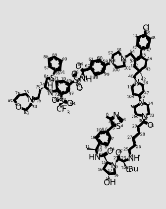 Cc1ncsc1-c1ccc([C@H](C)NC(=O)[C@@H]2C[C@@H](O)CN2C(=O)[C@@H](NCCCCCC(=O)N2CCN(C3CCN(C[C@]4(C)CCC(c5ccc(Cl)cc5)=C(CN5CCN(c6ccc(C(=O)NS(=O)(=O)c7ccc(N[C@H](CCN8CCCOCC8)CSc8ccccc8)c(S(=O)(=O)C(F)(F)F)c7)cc6)CC5)C4)CC3)CC2)C(C)(C)C)cc1